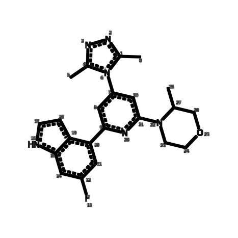 Cc1nnc(C)n1-c1cc(-c2cc(F)cc3[nH]ccc23)nc(N2CCOCC2C)c1